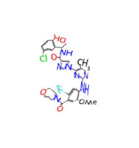 COc1cc(C(=O)N2CCOCC2)c(F)cc1Nc1ncc(C)c(-n2cnc(C(=O)NC(CO)c3cccc(Cl)c3)c2)n1